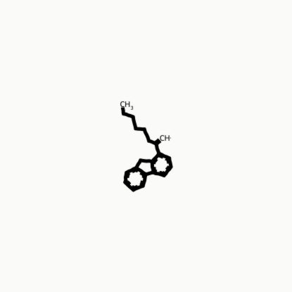 [CH]=C(CCCCCC)c1cccc2c1Cc1ccccc1-2